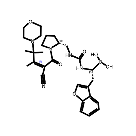 C/C(=C(\C#N)C(=O)N1CCC[C@@H]1CNC(=O)N[C@@H](Cc1coc2ccccc12)B(O)O)C(C)(C)N1CCOCC1